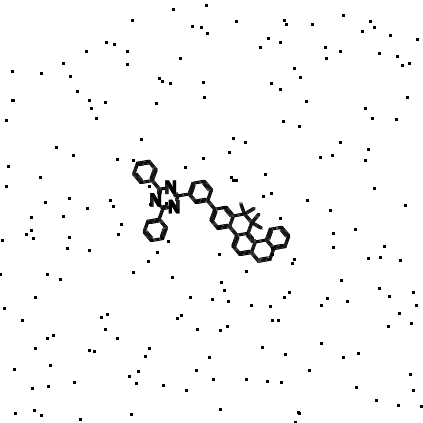 CC1(C)c2cc(-c3cccc(-c4nc(-c5ccccc5)nc(-c5ccccc5)n4)c3)ccc2-c2ccc3ccc4ccccc4c3c2C1(C)C